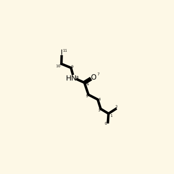 CC(C)CCCC(=O)NCCI